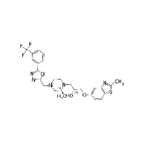 Cc1nc2cc(OC[C@H](O)CN3CCN(Cc4nnc(-c5cccc(C(F)(F)F)c5)o4)C[C@@H]3C)ccc2s1